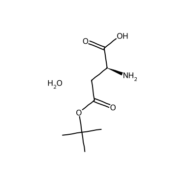 CC(C)(C)OC(=O)C[C@H](N)C(=O)O.O